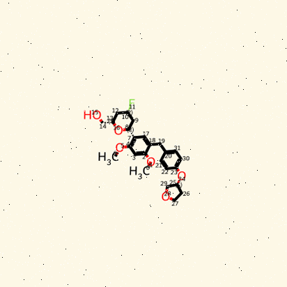 COc1cc(OC)c([C@H]2C[C@@H](F)C[C@@H](CO)O2)cc1Cc1ccc(O[C@H]2CCOC2)cc1